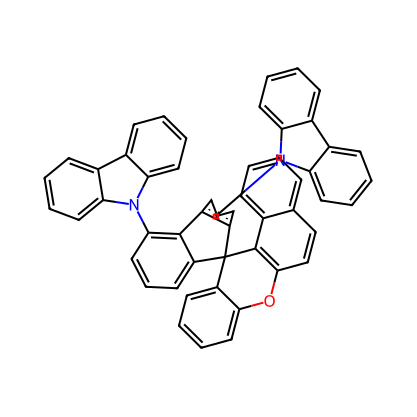 c1ccc2c(c1)Oc1ccc3ccccc3c1C21c2cc(-n3c4ccccc4c4ccccc43)ccc2-c2c(-n3c4ccccc4c4ccccc43)cccc21